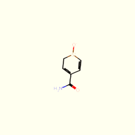 NC(=O)C1=CC[S+]([O-])C=C1